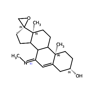 C/N=C1/C=C2C[C@@H](O)CC[C@]2(C)C2CC[C@@]3(C)C(CC[C@@]34CO4)C12